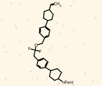 C=CC1CCC(c2ccc(COC(F)(F)Cc3ccc(C4CCC(CCCCC)CC4)cc3)cc2)CC1